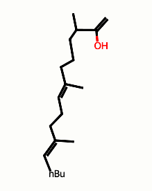 C=C(O)C(C)CCC/C(C)=C/CC/C(C)=C/CCCC